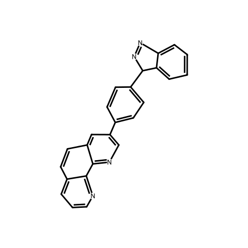 c1ccc2c(c1)N=NC2c1ccc(-c2cnc3c(ccc4cccnc43)c2)cc1